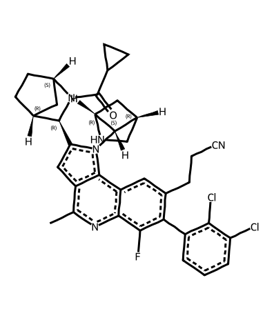 Cc1nc2c(F)c(-c3cccc(Cl)c3Cl)c(CCC#N)cc2c2c1cc([C@H]1[C@@H]3CC[C@@H](C3)N1C(=O)C1CC1)n2[C@H]1[C@H]2CN[C@@H]1C2